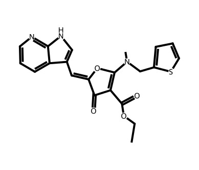 CCOC(=O)C1=C(N(C)Cc2cccs2)OC(=Cc2c[nH]c3ncccc23)C1=O